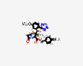 COc1ccc(C2(SCC3(C)SC4CC(=O)N4C3C(=O)OCc3ccc([N+](=O)[O-])cc3)N=NN=N2)cc1